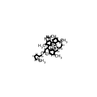 Cc1ccc(C(CC(=O)OCC2CCCN2C)c2ccc3c(nnn3C)c2C)cc1CN1CCN(C)c2ccccc2S1(O)O